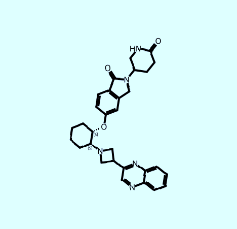 O=C1CCC(N2Cc3cc(O[C@H]4CCCC[C@@H]4N4CC(c5cnc6ccccc6n5)C4)ccc3C2=O)CN1